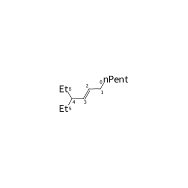 [CH2]CCCCCC=CC(C[CH2])CC